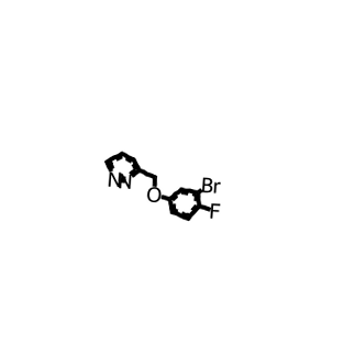 Fc1ccc(OCc2cccnn2)cc1Br